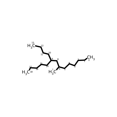 CCCCCCC(C)CC(CCCC)CCCCC